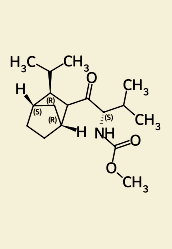 COC(=O)N[C@H](C(=O)C1[C@@H]2CC[C@@H](C2)[C@H]1C(C)C)C(C)C